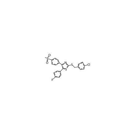 CS(=O)(=O)c1ccc(-c2nc(SCc3ccc(Cl)cc3)sc2-c2ccc(F)cc2)cc1